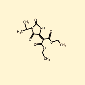 CCOC(=O)C(C(=O)OCC)=C1NC(=O)N(C(C)C)C1=O